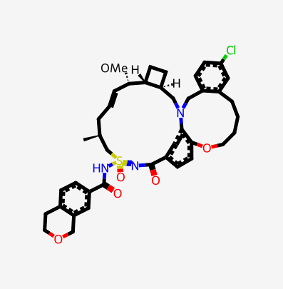 CO[C@H]1/C=C/C[C@H](C)CS(=O)(NC(=O)c2ccc3c(c2)COCC3)=NC(=O)c2ccc3c(c2)N(Cc2ccc(Cl)cc2CCCCO3)C[C@@H]2CC[C@H]21